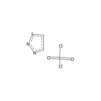 O=S(=O)(Cl)Cl.c1csnn1